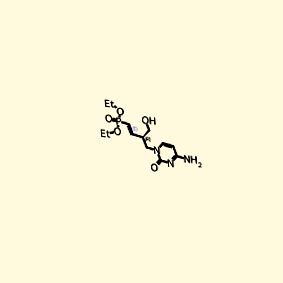 CCOP(=O)(/C=C/[C@@H](CO)Cn1ccc(N)nc1=O)OCC